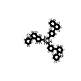 c1cc(-c2nc(-c3ccc(-c4cccc5ccccc45)cc3)nc(-c3ccc4c(ccc5oc6ccccc6c54)c3)n2)cc(-c2cccc3oc4ccccc4c23)c1